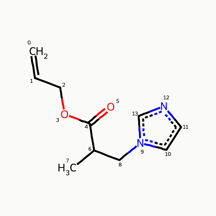 C=CCOC(=O)C(C)Cn1ccnc1